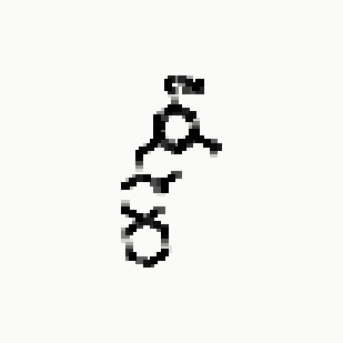 COc1cc(F)cc(CC2CCC3(CCCCC3)CN2C)c1